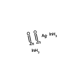 [Ag].[InH3].[InH3].[O]=[Zn].[O]=[Zn]